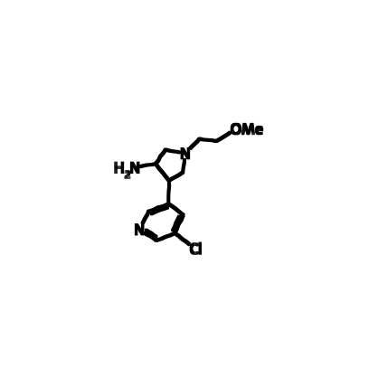 COCCN1CC(N)C(c2cncc(Cl)c2)C1